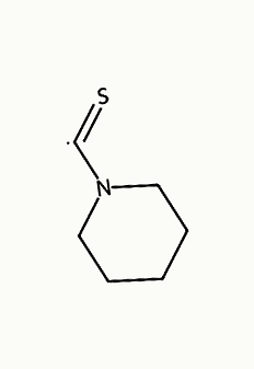 S=[C]N1CCCCC1